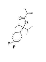 C=C(C)C(=O)OC(C(C)C)(C(C)C)C1CCC(F)(F)CC1